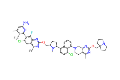 Cc1cc(N)nc(-c2c(Cl)cc3c(C(C)C)nc(OCC4CCC(c5ccc(Cl)c6c(N7CCc8c(C)nc(OCC9%10CCCN9CCC%10)nc8C7)cccc56)N4C)nc3c2F)c1C(F)(F)F